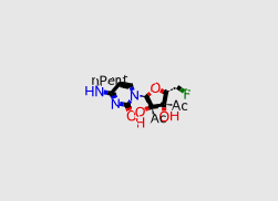 CCCCCNc1ccn([C@@H]2O[C@H](CF)[C@](O)(C(C)=O)[C@]2(O)C(C)=O)c(=O)n1